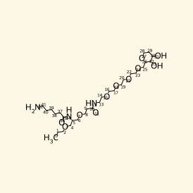 CCCOCC(COCCC(=O)NCCOCCOCCOCCOCC1OCCC(O)C1O)NC(=O)CCCCCN